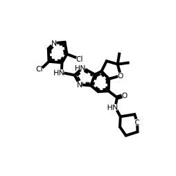 CC1(C)Cc2c(c(C(=O)NC3CCCCC3)cc3nc(Nc4c(Cl)cncc4Cl)[nH]c23)O1